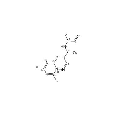 C=CC(C)NC(=O)C/C=N\N1C(C)=CC(C)=NC1C